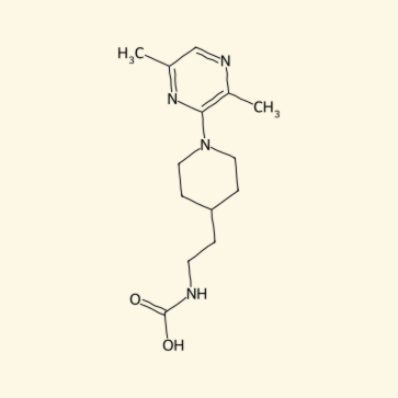 Cc1cnc(C)c(N2CCC(CCNC(=O)O)CC2)n1